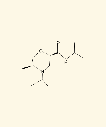 CC(C)NC(=O)[C@H]1CN(C(C)C)[C@@H](C)CO1